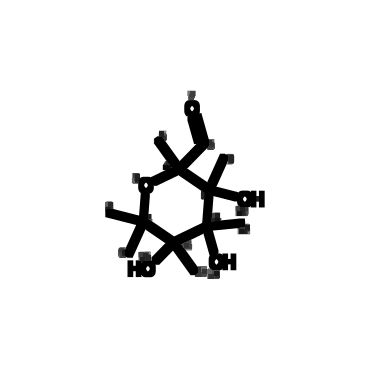 CC1(C)OC(C)(C=O)C(C)(O)C(C)(O)C1(C)O